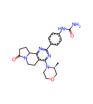 C[C@H]1COCCN1c1nc(-c2ccc(NC(N)=O)cc2)nc2c1CCN1C(=O)CCC21